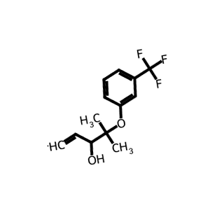 [CH]=CC(O)C(C)(C)Oc1cccc(C(F)(F)F)c1